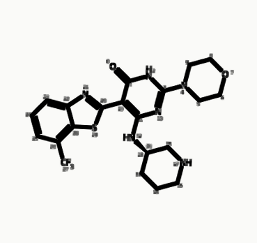 O=c1[nH]c(N2CCOCC2)nc(N[C@@H]2CCCNC2)c1-c1nc2cccc(C(F)(F)F)c2s1